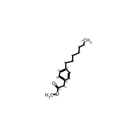 CCCCCCCc1ccc(CC(=O)OC)cc1